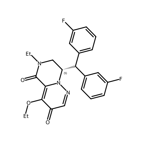 CCOc1c2n(ncc1=O)[C@@H](C(c1cccc(F)c1)c1cccc(F)c1)CN(CC)C2=O